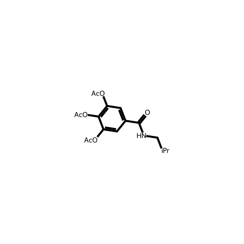 CC(=O)Oc1cc(C(=O)NCC(C)C)cc(OC(C)=O)c1OC(C)=O